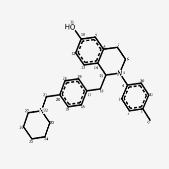 Cc1ccc(N2CCc3cc(O)ccc3C2Cc2ccc(CN3CCCCC3)cc2)cc1